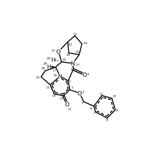 O=C1c2c(OCc3ccccc3)c(=O)cc3n2[C@H](CC3)[C@H]2OC3CCC(C3)N12